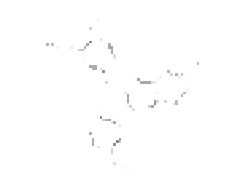 COc1ccc(OC)c(-c2nc3ccc(Br)cc3cc2Oc2ccc(OC)c(OC)c2)c1